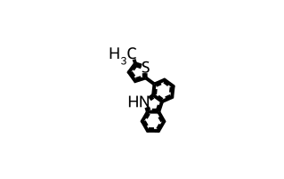 Cc1ccc(-c2cccc3c2[nH]c2ccccc23)s1